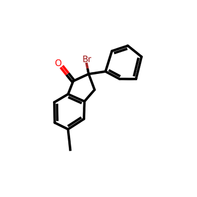 Cc1ccc2c(c1)CC(Br)(c1ccccc1)C2=O